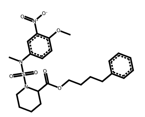 COc1ccc(N(C)S(=O)(=O)N2CCCCC2C(=O)OCCCCc2ccccc2)cc1[N+](=O)[O-]